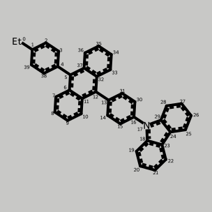 CCc1ccc(-c2c3ccccc3c(-c3ccc(-n4c5ccccc5c5ccccc54)cc3)c3ccccc23)cc1